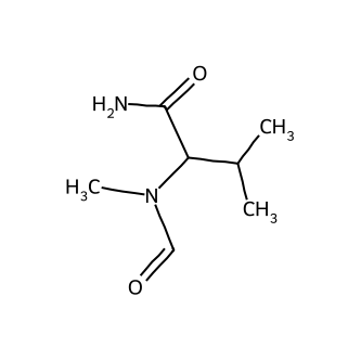 CC(C)C(C(N)=O)N(C)C=O